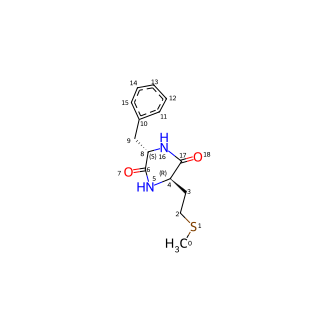 CSCC[C@H]1NC(=O)[C@H](Cc2ccccc2)NC1=O